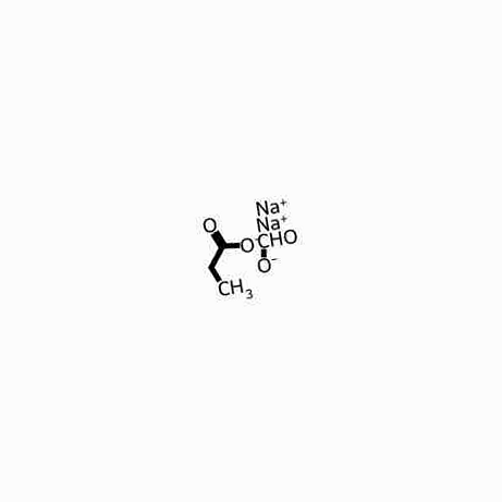 CCC(=O)[O-].O=C[O-].[Na+].[Na+]